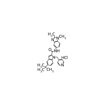 Cc1nc2cc(NC(=O)c3cc4cc(C(C)(C)C)ccc4n3Cc3ccncc3)ccc2n1C.Cl